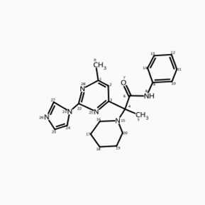 Cc1cc(C(C)(C(=O)Nc2ccccc2)N2CCCCC2)nc(-n2ccnc2)n1